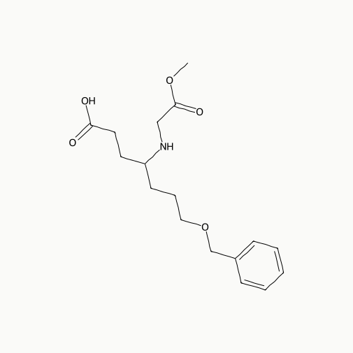 COC(=O)CNC(CCCOCc1ccccc1)CCC(=O)O